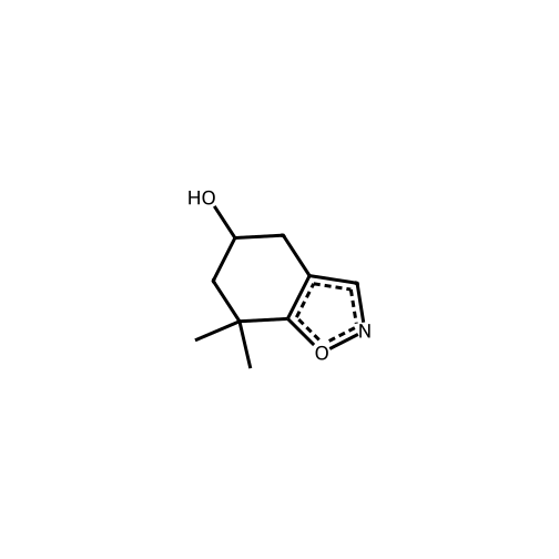 CC1(C)CC(O)Cc2cnoc21